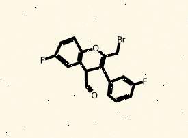 O=CC1C(c2cccc(F)c2)=C(CBr)Oc2ccc(F)cc21